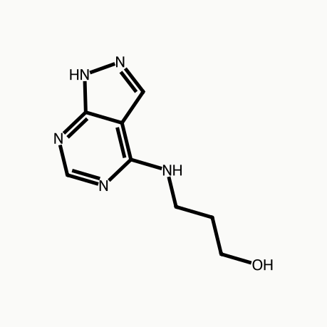 OCCCNc1ncnc2[nH]ncc12